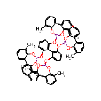 Cc1cccc2c1op(Oc1cccc(Op3oc4c(C)cccc4c4cccc(C)c4o3)c1-c1c(Op3oc4c(C)cccc4c4cccc(C)c4o3)cccc1Op1oc3c(C)cccc3c3cccc(C)c3o1)oc1ccccc12